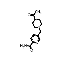 CC(=O)N1CCN(Cc2ccc(C(N)=O)nc2)CC1